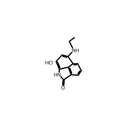 CCNc1ccc2c3c(cccc13)C(=O)N2.Cl